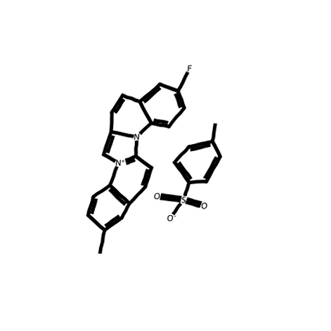 Cc1ccc(S(=O)(=O)[O-])cc1.Cc1ccc2c(ccc3n4c(ccc5cc(F)ccc54)c[n+]23)c1